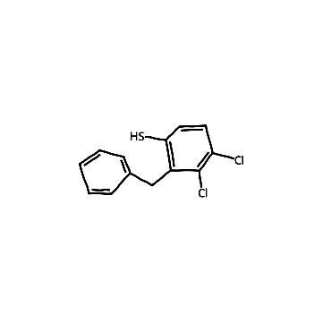 Sc1ccc(Cl)c(Cl)c1Cc1ccccc1